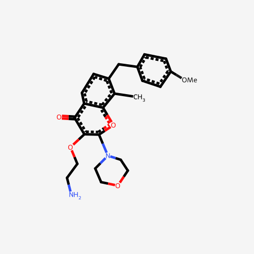 COc1ccc(Cc2ccc3c(=O)c(OCCN)c(N4CCOCC4)oc3c2C)cc1